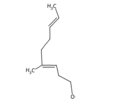 CC=CCCC(C)=CCC[O]